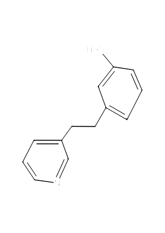 Cc1cccc([CH]Cc2cccnc2)c1